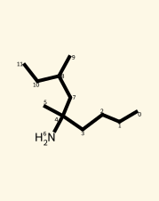 CCCCC(C)(N)CC(C)CC